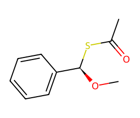 CO[C@H](SC(C)=O)c1ccccc1